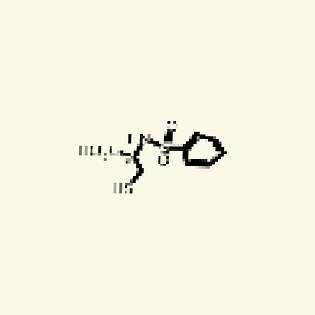 O=C(O)[C@H](CS)NS(=O)(=O)c1ccccc1